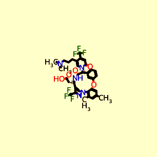 Cc1cc(C)c2c(c1)Oc1cccc(c1)[C@H](n1cc(CCCN(C)C)c(C(F)(F)F)cc1=O)C(=O)N[C@@H](CC(=O)O)c1cn-2nc1C(F)(F)F